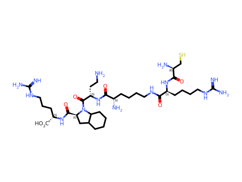 N=C(N)NCCCC[C@H](NC(=O)[C@@H](N)CS)C(=O)NCCCC[C@H](N)C(=O)N[C@@H](CCN)C(=O)N1C2CCCCC2C[C@H]1C(=O)N[C@@H](CCCNC(=N)N)C(=O)O